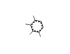 CCc1c(C)ccc(S(=O)(=O)O)c1N